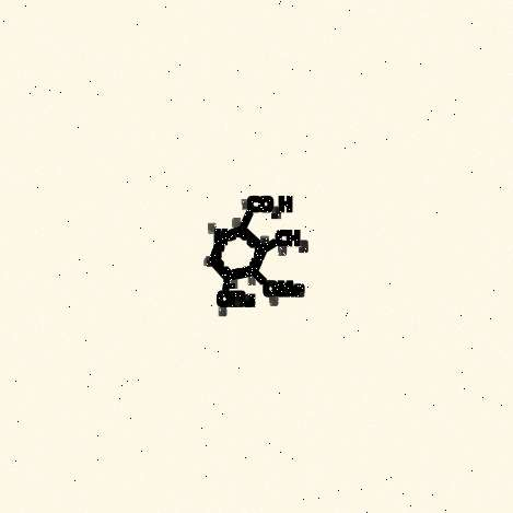 COc1c(OCC(C)C)cnc(C(=O)O)c1C